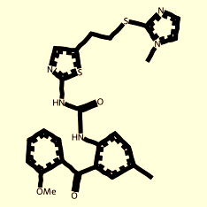 COc1ccccc1C(=O)c1cc(C)ccc1NC(=O)Nc1ncc(CCSc2nccn2C)s1